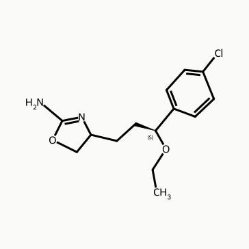 CCO[C@@H](CCC1COC(N)=N1)c1ccc(Cl)cc1